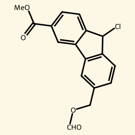 COC(=O)c1ccc2c(c1)-c1cc(COC=O)ccc1C2Cl